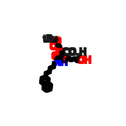 CC(C)(C)OC(=O)CO[C@@H](C(=O)O)[C@@H](OCCCCO)C(=O)NCCCCCc1ccc2ccccc2c1